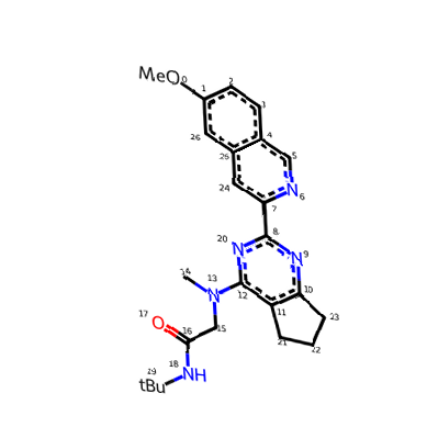 COc1ccc2cnc(-c3nc4c(c(N(C)CC(=O)NC(C)(C)C)n3)CCC4)cc2c1